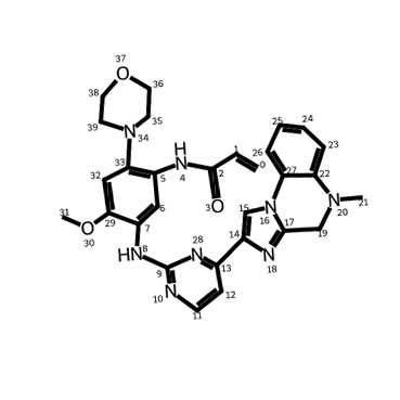 C=CC(=O)Nc1cc(Nc2nccc(-c3cn4c(n3)CN(C)c3ccccc3-4)n2)c(OC)cc1N1CCOCC1